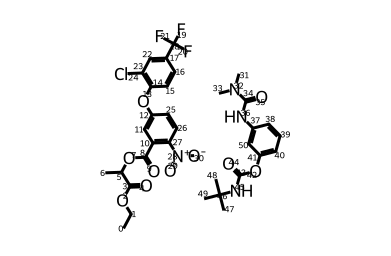 CCOC(=O)C(C)OC(=O)c1cc(Oc2ccc(C(F)(F)F)cc2Cl)ccc1[N+](=O)[O-].CN(C)C(=O)Nc1cccc(OC(=O)NC(C)(C)C)c1